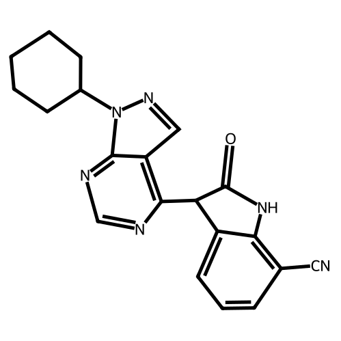 N#Cc1cccc2c1NC(=O)C2c1ncnc2c1cnn2C1CCCCC1